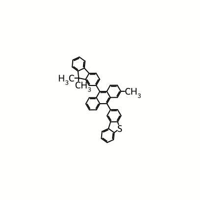 Cc1ccc2c(-c3ccc4c(c3)C(C)(C)c3ccccc3-4)c3ccccc3c(-c3ccc4sc5ccccc5c4c3)c2c1